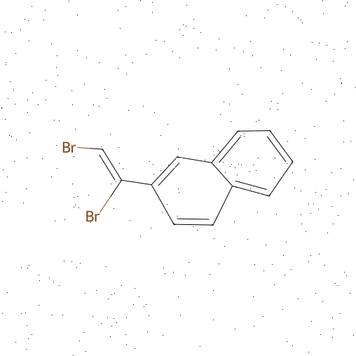 BrC=C(Br)c1ccc2ccccc2c1